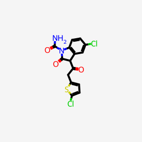 NC(=O)N1C(=O)C(C(=O)Cc2ccc(Cl)s2)c2cc(Cl)ccc21